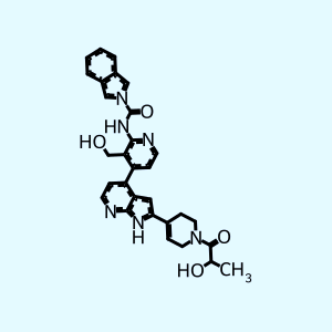 CC(O)C(=O)N1CC=C(c2cc3c(-c4ccnc(NC(=O)n5cc6ccccc6c5)c4CO)ccnc3[nH]2)CC1